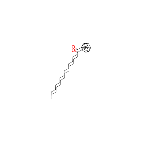 CCCCCCCCCCCCCC(=O)[C]12[CH]3[CH]4[CH]5[CH]1[Fe]45321678[CH]2[CH]1[CH]6[C]7(C(=O)CCCCCCCCCCCCC)[CH]28